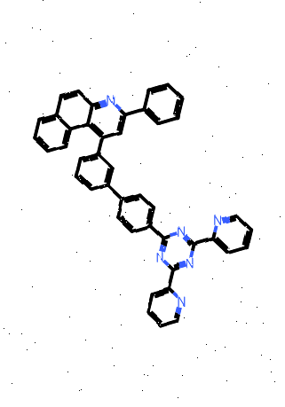 c1ccc(-c2cc(-c3cccc(-c4ccc(-c5nc(-c6ccccn6)nc(-c6ccccn6)n5)cc4)c3)c3c(ccc4ccccc43)n2)cc1